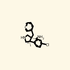 C[C@]1(c2ccc(Cl)cc2)CNC[C@@]1(CN)Cc1ccccc1